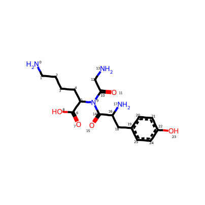 NCCCCC(C(=O)O)N(C(=O)CN)C(=O)C(N)Cc1ccc(O)cc1